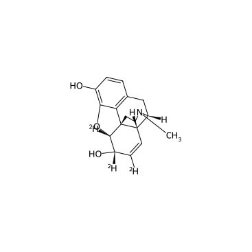 [2H]C1=C[C@H]2[C@H]3Cc4ccc(O)c5c4[C@@]2(CCN3C)[C@@]([2H])(O5)[C@@]1([2H])O